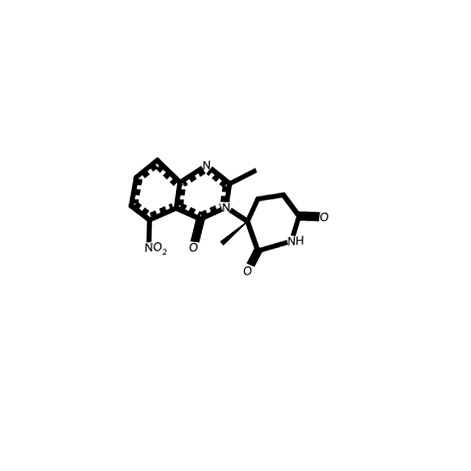 Cc1nc2cccc([N+](=O)[O-])c2c(=O)n1[C@]1(C)CCC(=O)NC1=O